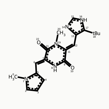 Cn1cccc1/C=c1\[nH]c(=O)/c(=C/c2nc[nH]c2C(C)(C)C)n(C)c1=O